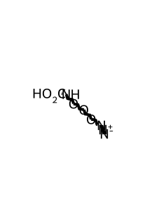 [N-]=[N+]=NCCOCCOCCOCCNC(=O)O